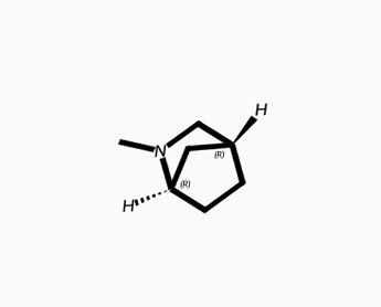 CN1C[C@@H]2CC[C@@H]1C2